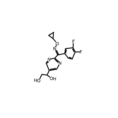 OCC(O)c1cnc(C(=NOC2CC2)c2ccc(F)c(F)c2)nc1